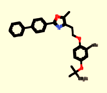 CCCCc1cc(OC(C)(C)C(=O)OCC)ccc1OCCc1nc(-c2ccc(-c3ccccc3)cc2)oc1C